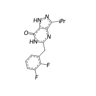 CC(C)c1n[nH]c2c(=O)[nH]c(Cc3cccc(F)c3F)nc12